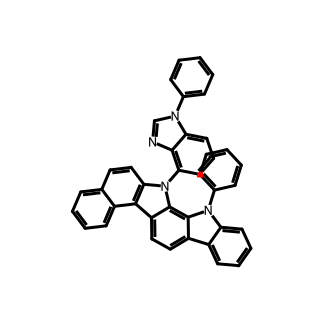 c1ccc(-n2cnc3c(-n4c5ccc6ccccc6c5c5ccc6c7ccccc7n(-c7ccccc7)c6c54)cccc32)cc1